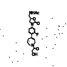 CC(=O)NCC1CN(c2ccc(C3=CCN(C(=O)CO)CCC3)c(F)c2)C(=O)O1